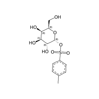 Cc1ccc(S(=O)(=O)O[C@H]2O[C@H](CO)[C@H](O)[C@H](O)[C@H]2O)cc1